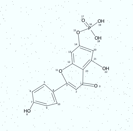 O=c1cc(-c2ccc(O)cc2)oc2cc(OP(=O)(O)O)cc(O)c12